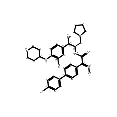 O=C(N[C@H](CN1CCCC1)[C@H](O)c1ccc(OC2CCOCC2)c(Cl)c1)/C(=N/O)c1ccc(-c2ccc(F)cc2)cc1